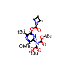 COc1nc(C(C)(C)C)c(OC(=O)N2CCC2)nc1N(C(=O)OC(C)(C)C)C(=O)OC(C)(C)C